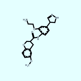 COc1ccc2c(c1)CC(C(=O)Nc1ccc(C3C=NNC3)cc1OCCN)CO2